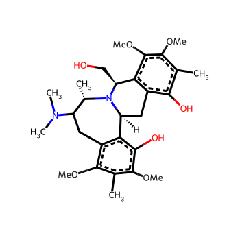 COc1c(C)c(OC)c2c(c1O)[C@@H]1Cc3c(O)c(C)c(OC)c(OC)c3[C@H](CO)N1[C@@H](C)C(N(C)C)C2